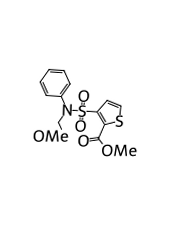 COCN(c1ccccc1)S(=O)(=O)c1ccsc1C(=O)OC